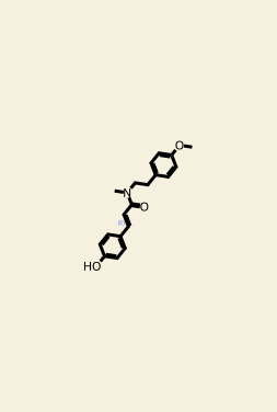 COc1ccc(CCN(C)C(=O)/C=C/c2ccc(O)cc2)cc1